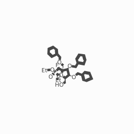 CCOP(=O)(OCC)C(F)[C@]1(COCc2ccccc2)O[C@H](CO)[C@@H](OCc2ccccc2)[C@@H]1OCc1ccccc1